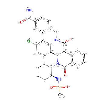 CS(=O)(=O)N[C@H]1CCCCC1N1C(=O)c2ccccc2[C@@H](C(=O)NCc2ccc(C(N)=O)cc2)[C@@H]1c1ccc(Cl)cc1